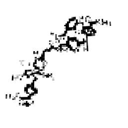 CNC(=O)c1cnc(Nc2ccc(C(=O)NC(=O)CCC(=O)N[C@H](C(=O)N3C[C@H](O)C[C@@]3(Cc3ccc(-c4scnc4C)cc3)C(N)=O)C(C)(C)C)cn2)cc1Nc1cccc(C(=O)NC)c1OC